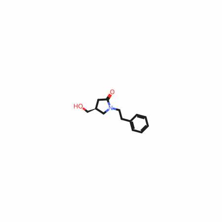 O=C1C[C@H](CO)CN1CCc1ccccc1